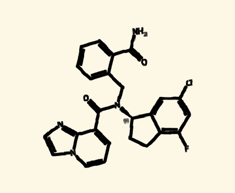 NC(=O)c1ccccc1CN(C(=O)c1cccn2ccnc12)[C@@H]1CCc2c(F)cc(Cl)cc21